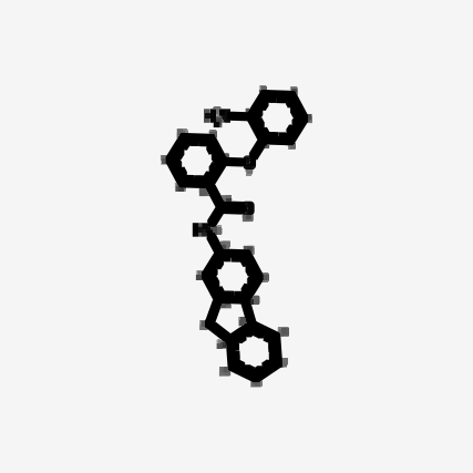 Nc1ccccc1Oc1ccccc1C(=O)Nc1ccc2c(c1)Cc1ccccc1-2